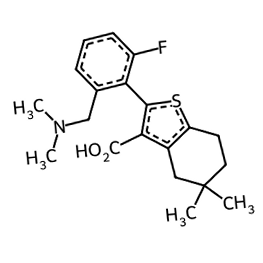 CN(C)Cc1cccc(F)c1-c1sc2c(c1C(=O)O)CC(C)(C)CC2